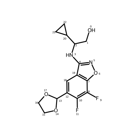 OCC(Nc1noc2c(F)c(F)c(C3OCCO3)cc12)C1CC1